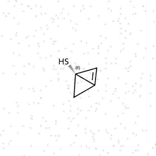 S[C@]12C=C1C2